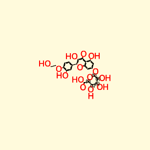 O=C(O)[C@H]1O[C@@H](Oc2cc(O)c3c(=O)c(O)c(-c4ccc(OCCO)c(O)c4)oc3c2)[C@H](O)[C@@H](O)[C@@H]1O